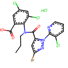 CCCN(C(=O)c1cc(Br)nn1-c1ncccc1Cl)c1c(Cl)cc(Cl)cc1C(=O)O.Cl